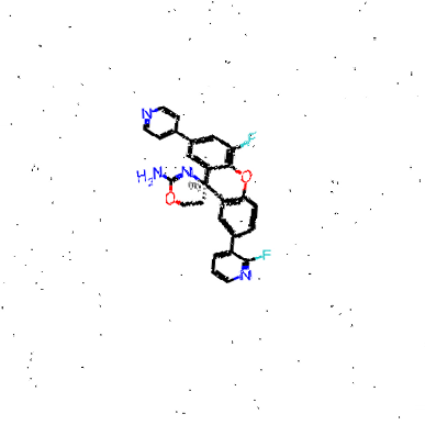 NC1=N[C@]2(CCO1)c1cc(-c3cccnc3F)ccc1Oc1c(F)cc(-c3ccncc3)cc12